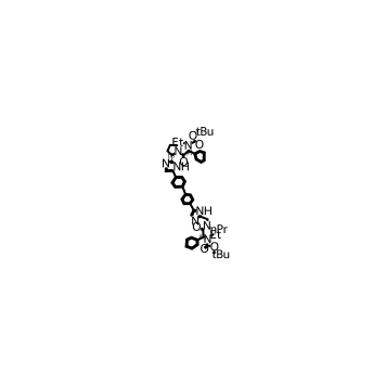 CCCN(Cc1ncc(-c2ccc(-c3ccc(-c4cnc([C@@H]5CCCN5C(=O)[C@@H](c5ccccc5)N(CC)C(=O)OC(C)(C)C)[nH]4)cc3)cc2)[nH]1)C(=O)[C@@H](c1ccccc1)N(CC)C(=O)OC(C)(C)C